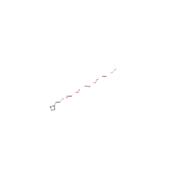 C#CCOCCOCCOCCOCCOCCOCCC(=O)C1CCC1